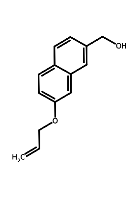 C=CCOc1ccc2ccc(CO)cc2c1